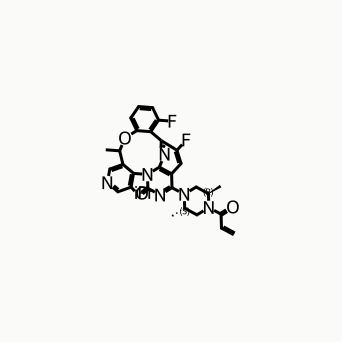 C=CC(=O)N1C[C@H](C)N(c2nc(=O)n3c4nc(c(F)cc24)-c2c(F)cccc2OC(C)c2cncc(C(C)C)c2-3)C[C@H]1C